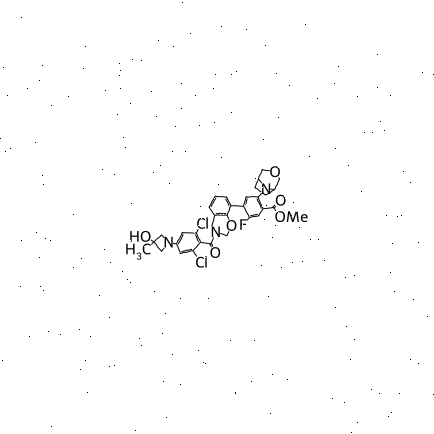 COC(=O)c1cc(F)c(-c2cccc3c2OCN(C(=O)c2c(Cl)cc(N4CC(C)(O)C4)cc2Cl)C3)cc1N1C2CCC1COC2